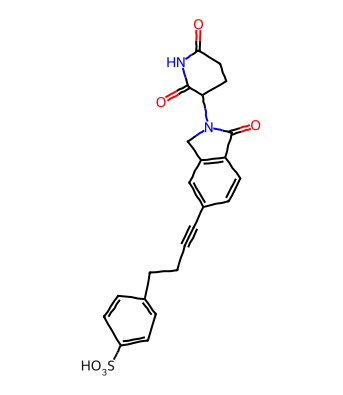 O=C1CCC(N2Cc3cc(C#CCCc4ccc(S(=O)(=O)O)cc4)ccc3C2=O)C(=O)N1